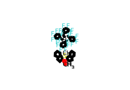 COc1ccc2ccccc2c1[S+](C)c1c(OC)ccc2ccccc12.Fc1c(F)c(F)c(C[B-](Cc2c(F)c(F)c(F)c(F)c2F)(Cc2c(F)c(F)c(F)c(F)c2F)Cc2c(F)c(F)c(F)c(F)c2F)c(F)c1F